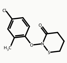 Cc1cc(Cl)ccc1ON1SCCCC1=O